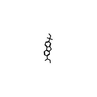 CCC(C)c1ccc2c(c1)Cc1cc(C(C)(C)CC)ccc1-2